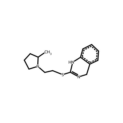 CC1CCCN1CCSC1=NCc2ccccc2N1